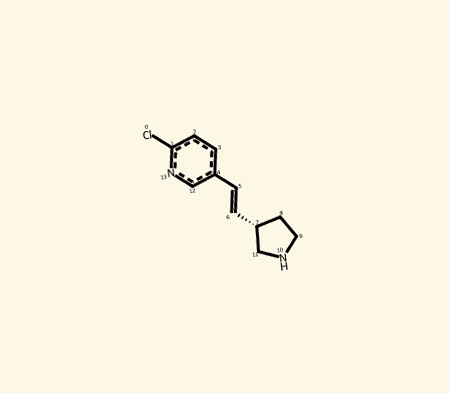 Clc1ccc(C=C[C@@H]2CCNC2)cn1